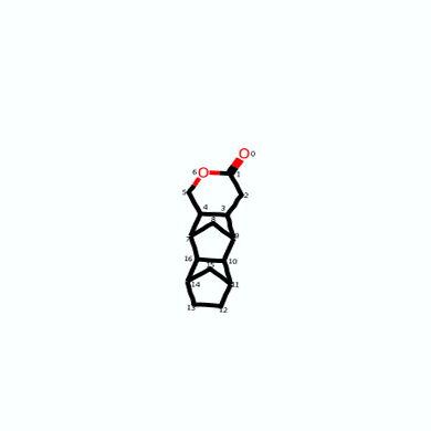 O=C1CC2C(CO1)C1CC2C2C3CCC(C3)C12